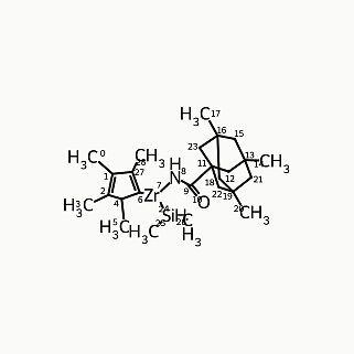 CC1=C(C)C(C)[C]([Zr]([NH]C(=O)C23CC4(C)CC(C)(CC(C)(C4)C2)C3)[SiH](C)C)=C1C